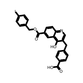 O=C(O)c1ccc(Cc2cnc3ccc(C(=O)OCc4ccc(I)cc4)cc3c2O)cc1